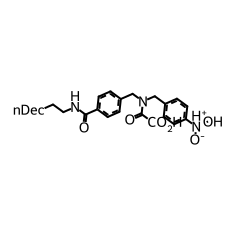 CCCCCCCCCCCCNC(=O)c1ccc(CN(Cc2ccc([NH+]([O-])O)cc2)C(=O)C(=O)O)cc1